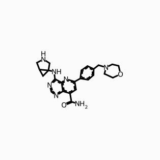 NC(=O)c1cc(-c2ccc(CN3CCOCC3)cc2)nc2c(NC34CNCC3C4)ncnc12